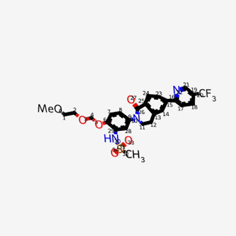 COCCOCOc1ccc(N2CCc3cc(-c4ccc(C(F)(F)F)cn4)ccc3C2=O)cc1NS(C)(=O)=O